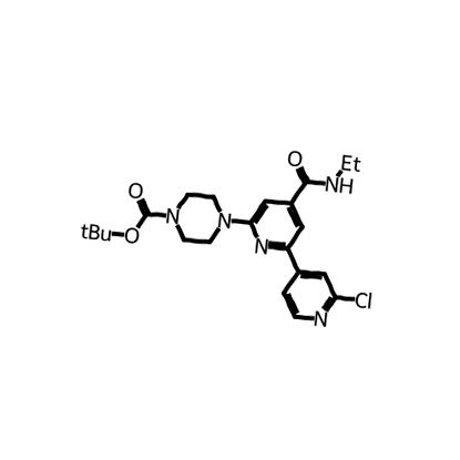 CCNC(=O)c1cc(-c2ccnc(Cl)c2)nc(N2CCN(C(=O)OC(C)(C)C)CC2)c1